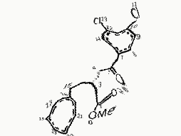 COC(=O)[C@@H](CC(=O)c1ccc(Cl)c(Cl)c1)Cc1ccccc1